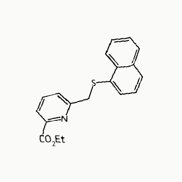 CCOC(=O)c1cccc(CSc2cccc3ccccc23)n1